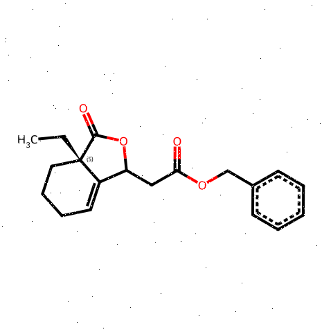 CC[C@]12CCCC=C1C(CC(=O)OCc1ccccc1)OC2=O